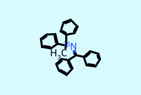 CC([15N]=C(c1ccccc1)c1ccccc1)(c1ccccc1)c1ccccc1